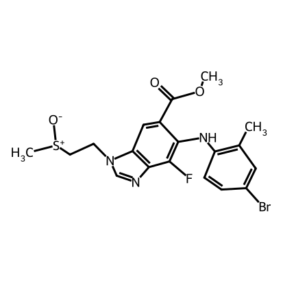 COC(=O)c1cc2c(ncn2CC[S+](C)[O-])c(F)c1Nc1ccc(Br)cc1C